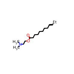 CC/C=C/CCCCCCCC(=O)OCCN(C)C